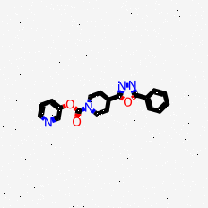 O=C(Oc1cccnc1)N1CCC(c2nnc(-c3ccccc3)o2)CC1